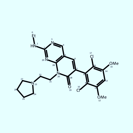 CCNc1ncc2cc(-c3c(Cl)c(OC)cc(OC)c3Cl)c(=O)n(CCN3CCCC3)c2n1